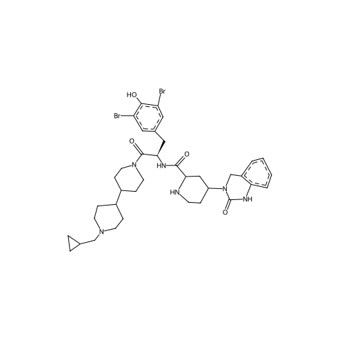 O=C(N[C@H](Cc1cc(Br)c(O)c(Br)c1)C(=O)N1CCC(C2CCN(CC3CC3)CC2)CC1)C1CC(N2Cc3ccccc3NC2=O)CCN1